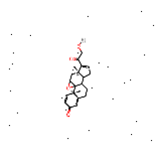 CCOCC(=O)C1=CCC2C3CCC4=CC(=O)C=C[C@]4(C)C34OC4C[C@]12C